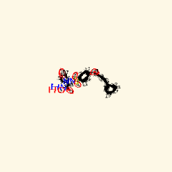 O=C(NO)[C@H](CNS(=O)(=O)c1ccc(OCCc2ccccc2)cc1)N1CCOCC1